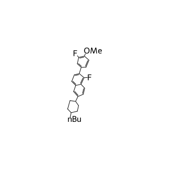 CCCCC1CCC(c2ccc3c(F)c(-c4ccc(OC)c(F)c4)ccc3c2)CC1